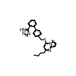 CCCCc1cc(SCc2ccc(-c3ccccc3-c3nnn[nH]3)cc2)n2nccc2n1